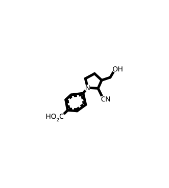 N#CC1C(CO)CCN1c1ccc(C(=O)O)cc1